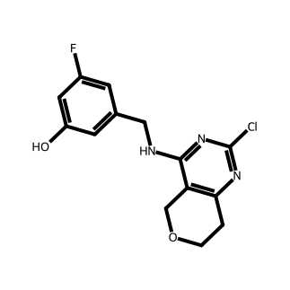 Oc1cc(F)cc(CNc2nc(Cl)nc3c2COCC3)c1